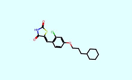 O=C1NC(=O)C(=Cc2ccc(OCCCC3CCCCC3)cc2Cl)S1